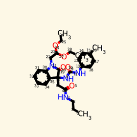 CCCNC(=O)CC1(NC(=O)Nc2ccc(C)cc2)C(=O)N(CC(OCC)OCC)c2ccccc21